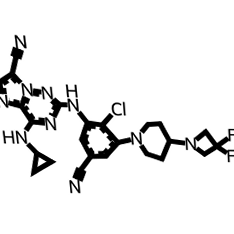 N#Cc1cc(Nc2nc(NC3CC3)c3ncc(C#N)n3n2)c(Cl)c(N2CCC(N3CC(F)(F)C3)CC2)c1